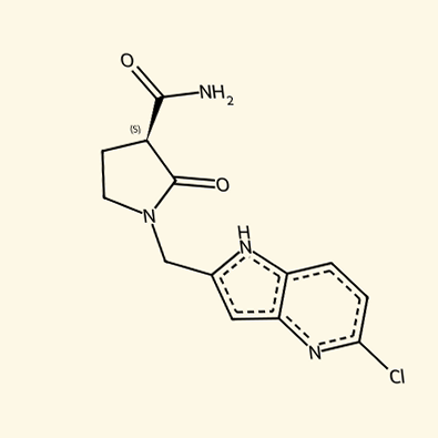 NC(=O)[C@@H]1CCN(Cc2cc3nc(Cl)ccc3[nH]2)C1=O